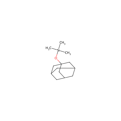 C[Si](C)(C)OC12CC3CC(CC(C3)C1)C2